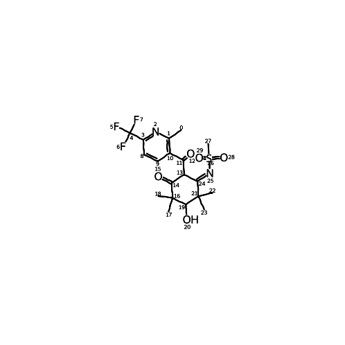 Cc1nc(C(F)(F)F)ccc1C(=O)C1C(=O)C(C)(C)C(O)C(C)(C)C1=NS(C)(=O)=O